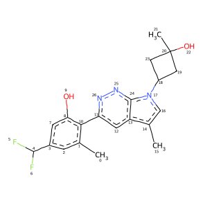 Cc1cc(C(F)F)cc(O)c1-c1cc2c(C)cn(C3CC(C)(O)C3)c2nn1